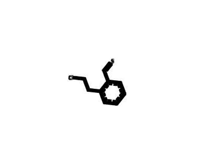 S=[C]c1ccccc1CCCl